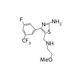 COCCNCc1sc(N)nc1-c1cc(F)cc(C(F)(F)F)c1